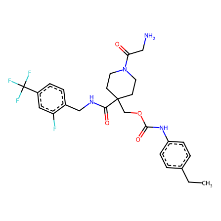 CCc1ccc(NC(=O)OCC2(C(=O)NCc3ccc(C(F)(F)F)cc3F)CCN(C(=O)CN)CC2)cc1